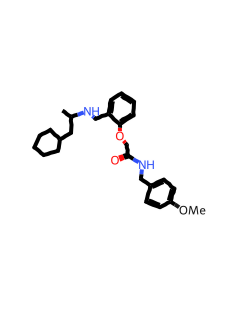 COc1ccc(CNC(=O)COc2ccccc2CNC(C)CC2CCCCC2)cc1